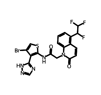 O=C(Cn1c(=O)ccc2c(C(F)C(F)F)cccc21)Nc1scc(Br)c1-c1ncn[nH]1